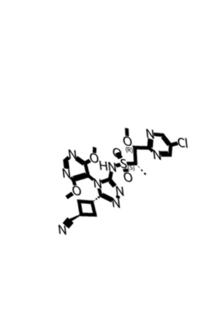 COc1ncnc(OC)c1-n1c(NS(=O)(=O)[C@@H](C)[C@H](OC)c2ncc(Cl)cn2)nnc1[C@H]1C[C@H](C#N)C1